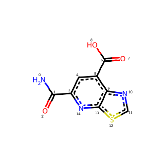 NC(=O)c1cc(C(=O)O)c2ncsc2n1